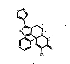 C[C@@H]1C(=O)C(C#N)=C[C@]2(c3ccccc3)c3n[nH]c(C4=C[N]N=C4)c3CCC12